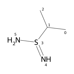 CC(C)S(=N)N